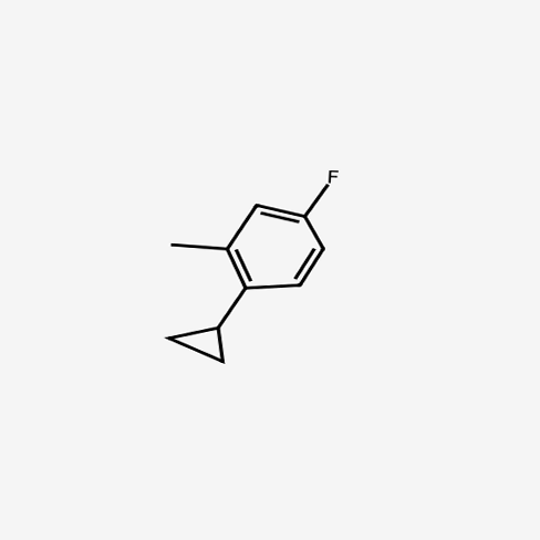 Cc1cc(F)ccc1C1CC1